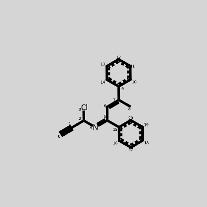 C#CC(Cl)/N=C(\C=C(/C)c1ccccc1)c1ccccc1